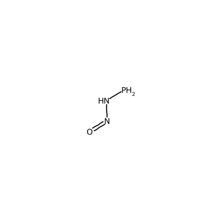 O=NNP